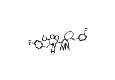 COC(=O)[C@H](Cc1ccc(F)cc1)NC(=O)c1nn(C)c2c1CCCCC2=Cc1cccc(F)c1